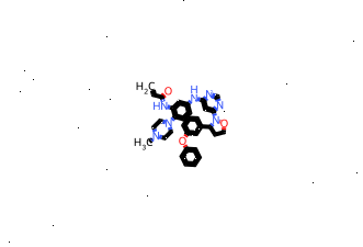 C=CC(=O)Nc1cc(Nc2cc(N3OCCC3c3cccc(Oc4ccccc4)c3)ncn2)ccc1N1CCN(C)CC1